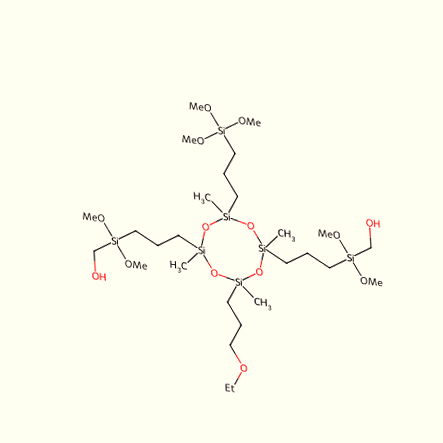 CCOCCC[Si]1(C)O[Si](C)(CCC[Si](CO)(OC)OC)O[Si](C)(CCC[Si](OC)(OC)OC)O[Si](C)(CCC[Si](CO)(OC)OC)O1